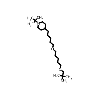 CC(C)(C)COCCCCCOCCCCCC1CCN(C(C)(C)C)CC1